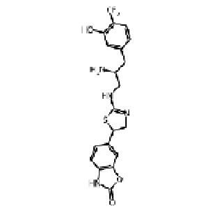 N[C@H](CNC1=NCC(c2ccc3[nH]c(=O)oc3c2)S1)Cc1ccc(C(F)(F)F)c(O)c1